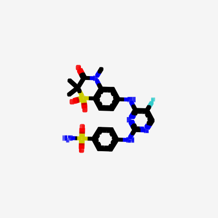 CN1C(=O)C(C)(C)S(=O)(=O)c2ccc(Nc3nc(Nc4ccc(S(N)(=O)=O)cc4)ncc3F)cc21